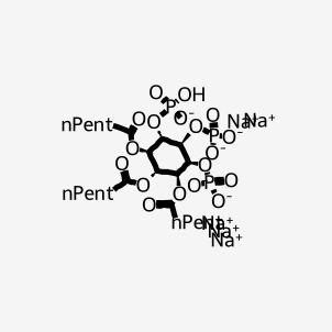 CCCCCC(=O)O[C@@H]1[C@@H](OC(=O)CCCCC)[C@H](OP(=O)([O-])O)[C@@H](OP(=O)([O-])[O-])[C@@H](OP(=O)([O-])[O-])[C@H]1OC(=O)CCCCC.[Na+].[Na+].[Na+].[Na+].[Na+]